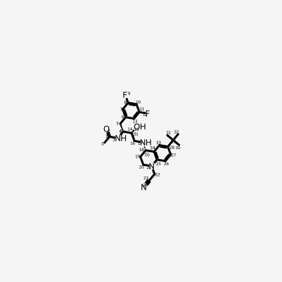 CC(=O)N[C@@H](Cc1cc(F)cc(F)c1)[C@@H](O)CN[C@H]1CCN(CC#N)c2ccc(C(C)(C)C)cc21